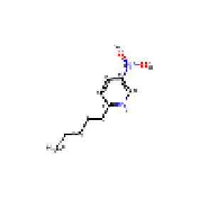 CCCCCc1ccc([N+](=O)[O-])cn1